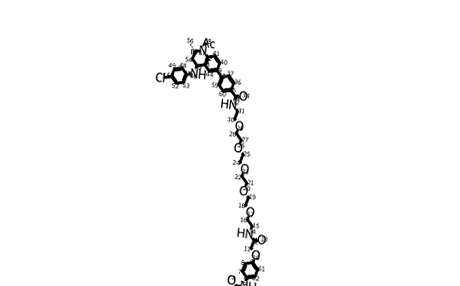 CCCC(NC)C(=O)Nc1ccc(OCC(=O)NCCOCCOCCOCCOCCOCCNC(=O)c2ccc(-c3ccc4c(c3)[C@H](Nc3ccc(Cl)cc3)C[C@H](C)N4C(C)=O)cc2)cc1